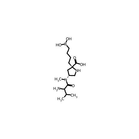 CC(C)C(N)C(=O)N(C)[C@H]1CN[C@@](CCCCB(O)O)(C(=O)O)C1